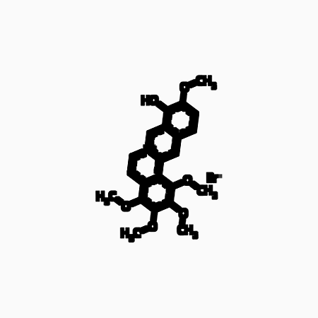 COc1ccc2cc3c4c(OC)c(OC)c(OC)c(OC)c4cc[n+]3cc2c1O.[Br-]